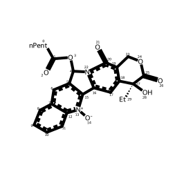 CCCCCC(=O)OC1c2cc3ccccc3[n+]([O-])c2-c2cc3c(c(=O)n21)COC(=O)[C@]3(O)CC